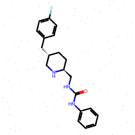 O=C(NC[C@@H]1CC[C@@H](Cc2ccc(F)cc2)CN1)Nc1ccccc1